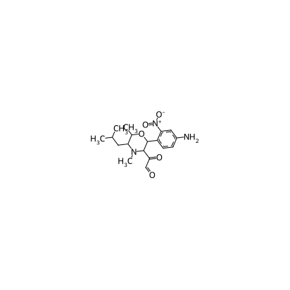 CC(C)CC1C(C)OC(c2ccc(N)cc2[N+](=O)[O-])C(C(=O)C=O)N1C